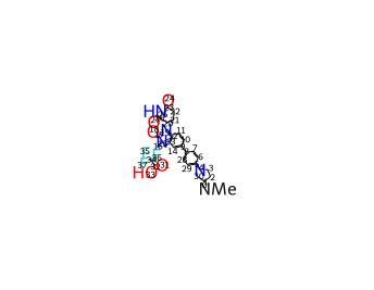 CN[C@@H]1CCN(c2ccc(-c3ccc4c(c3)n(C)c(=O)n4C3CCC(=O)NC3=O)cc2)C1.O=C(O)C(F)(F)F